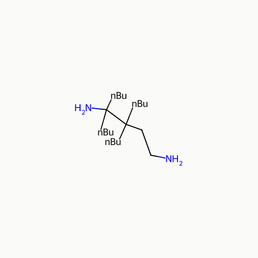 CCCCC(N)(CCCC)C(CCN)(CCCC)CCCC